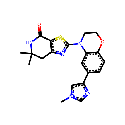 Cn1cnc(-c2ccc3c(c2)N(c2nc4c(s2)C(=O)NC(C)(C)C4)CCO3)c1